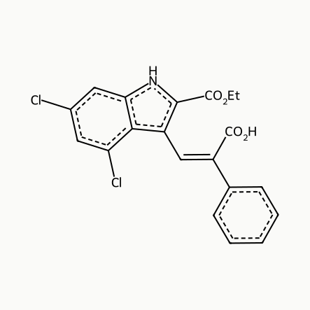 CCOC(=O)c1[nH]c2cc(Cl)cc(Cl)c2c1C=C(C(=O)O)c1ccccc1